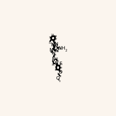 COCCOc1ccc(N2CCN(CCn3cnc4c3nc(N)n3nc(-c5ccccc5C)nc43)CC2)c(F)c1